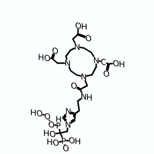 O=C(O)CN1CCN(CC(=O)O)CCN(CC(=O)NCCc2cn(CC(O)(POOO)P(=O)(O)O)cn2)CCN(CC(=O)O)CC1